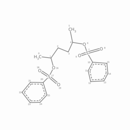 CC(CCC(C)OS(=O)(=O)c1ccccc1)OS(=O)(=O)c1ccccc1